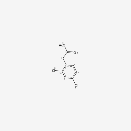 CC(=O)OC(=O)Cc1ccc(Cl)cc1Cl